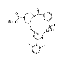 Cc1cccc(C)c1-c1cc2nc(n1)NS(=O)(=O)c1cccc(c1)C(=O)N1CCN(C(=O)OC(C)(C)C)CC(C1)O2